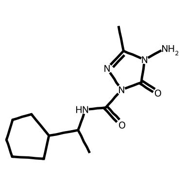 Cc1nn(C(=O)NC(C)C2CCCCC2)c(=O)n1N